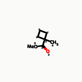 COC(=O)C1(C)CCC1